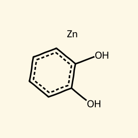 Oc1ccccc1O.[Zn]